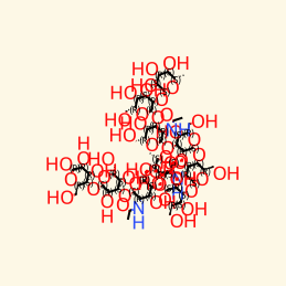 CC(=O)N[C@H]1[C@H](O[C@H]2[C@@H](O)[C@@H](CO)O[C@@H](O[C@H]3[C@H](O)[C@@H](O)[C@H](O)O[C@@H]3CO)[C@@H]2O)O[C@H](CO)[C@@H](O[C@@H]2O[C@H](CO)[C@H](O)[C@H](O[C@@H]3O[C@H](CO)[C@@H](O[C@@H]4O[C@H](CO)[C@H](O)[C@H](O[C@H]5O[C@H](CO)[C@H](O)[C@H](O[C@@H]6O[C@H](CO)[C@H](O)[C@H](O)[C@H]6O[C@@H]6O[C@@H](C)[C@@H](O)[C@@H](O)[C@@H]6O)[C@H]5NC(C)=O)[C@H]4O[C@@H]4O[C@@H](C)[C@@H](O)[C@@H](O)[C@@H]4O)[C@H](O)[C@H]3NC(C)=O)[C@H]2O)[C@@H]1O